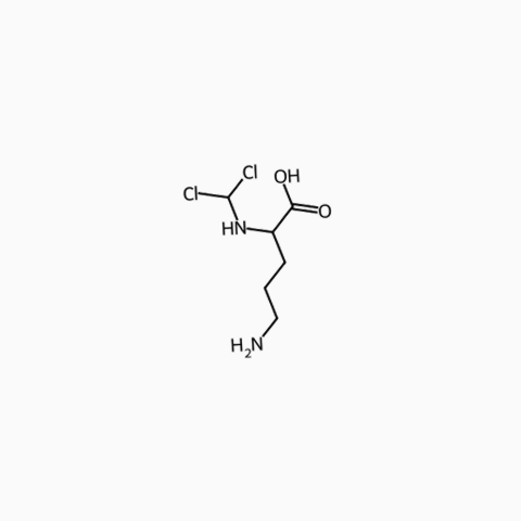 NCCCC(NC(Cl)Cl)C(=O)O